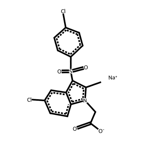 Cc1c(S(=O)(=O)c2ccc(Cl)cc2)c2cc(Cl)ccc2n1CC(=O)[O-].[Na+]